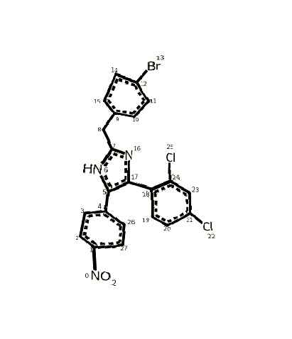 O=[N+]([O-])c1ccc(-c2[nH]c(Cc3ccc(Br)cc3)nc2-c2ccc(Cl)cc2Cl)cc1